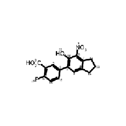 O=C(O)c1cc(-c2cc3c(c([N+](=O)[O-])c2O)CCC3)ccc1F